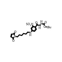 CC(C)(C)OC(=O)NNC(=O)c1ccc(NCCCCCCN2C(=O)C=CC2=O)cc1S(=O)(=O)O